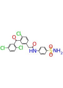 NS(=O)(=O)c1ccc(NC(=O)Cc2ccc(Cl)c(C(=O)c3cc(Cl)ccc3Cl)c2)cc1